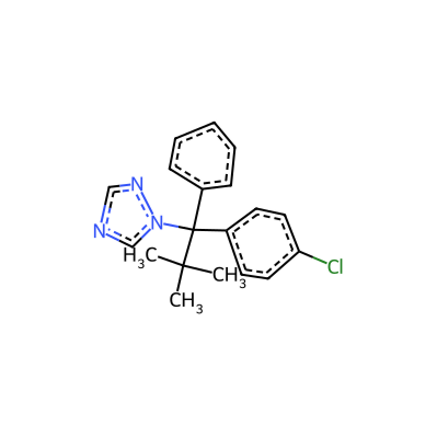 CC(C)(C)C(c1ccccc1)(c1ccc(Cl)cc1)n1cncn1